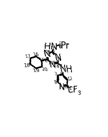 CC(C)Nc1nc(Nc2ccnc(C(F)(F)F)c2)nc(C2CCCCC2)n1